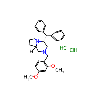 COc1ccc(CN2C[C@@H]3CCCN3[C@H](C(c3ccccc3)c3ccccc3)C2)c(OC)c1.Cl.Cl